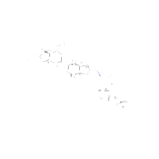 Cc1cn2nc(-c3cnc4cc(/C=C5/CCN(C(=O)OC(C)(C)C)C6(CC6)C5)sc4n3)cc(C)c2n1